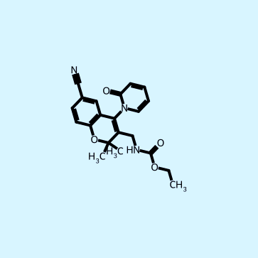 CCOC(=O)NCC1=C(n2ccccc2=O)c2cc(C#N)ccc2OC1(C)C